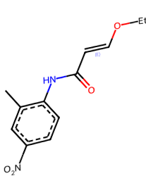 CCO/C=C/C(=O)Nc1ccc([N+](=O)[O-])cc1C